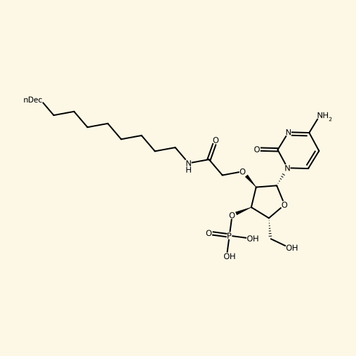 CCCCCCCCCCCCCCCCCCNC(=O)CO[C@@H]1[C@H](OP(=O)(O)O)[C@@H](CO)O[C@H]1n1ccc(N)nc1=O